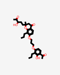 CCCc1c(OCCCOc2ccc3c(c2CCC)OC(C)(CCC(O)C(C)=O)CC3=O)ccc(C(C)=O)c1O